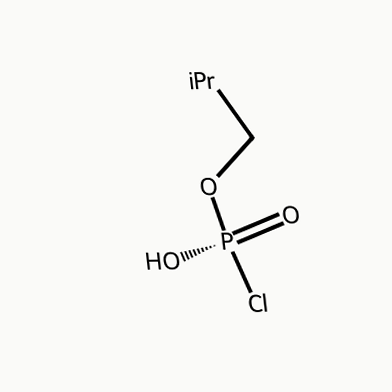 CC(C)CO[P@](=O)(O)Cl